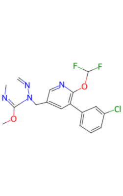 C=NN(Cc1cnc(OC(F)F)c(-c2cccc(Cl)c2)c1)/C(=N\C)OC